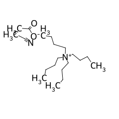 CC#N.CC(=O)[O-].CCCC[N+](CCCC)(CCCC)CCCC